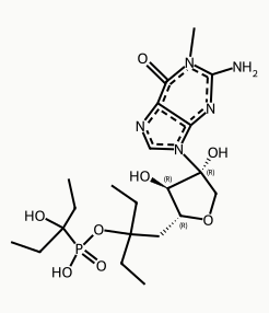 CCC(CC)(C[C@H]1OC[C@](O)(n2cnc3c(=O)n(C)c(N)nc32)[C@@H]1O)OP(=O)(O)C(O)(CC)CC